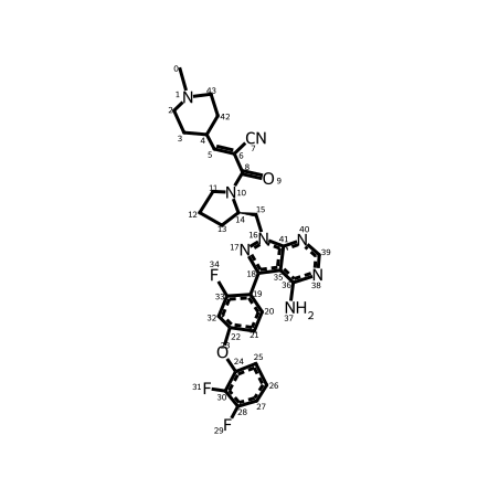 CN1CCC(C=C(C#N)C(=O)N2CCC[C@@H]2Cn2nc(-c3ccc(Oc4cccc(F)c4F)cc3F)c3c(N)ncnc32)CC1